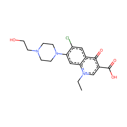 CCn1cc(C(=O)O)c(=O)c2cc(Cl)c(N3CCN(CCO)CC3)cc21